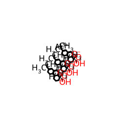 CC(C)C1=CC2=CCC3[C@](CO)(C(=O)[O-])CCC[C@]3(C)[C@H]2CC1.CC(C)C1=CC2=CCC3[C@](CO)(C(=O)[O-])CCC[C@]3(C)[C@H]2CC1.CC(C)C1=CC2=CCC3[C@](CO)(C(=O)[O-])CCC[C@]3(C)[C@H]2CC1.[Al+3]